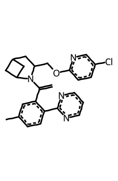 C=C(c1cc(C)ccc1-c1ncccn1)N1C(COc2ccc(Cl)cn2)CC2CC1C2